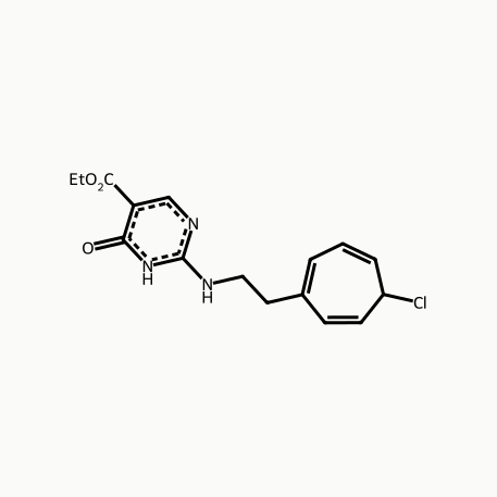 CCOC(=O)c1cnc(NCCC2=CC=CC(Cl)C=C2)[nH]c1=O